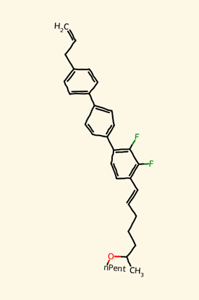 C=CCc1ccc(-c2ccc(-c3ccc(/C=C/CCCC(C)OCCCCC)c(F)c3F)cc2)cc1